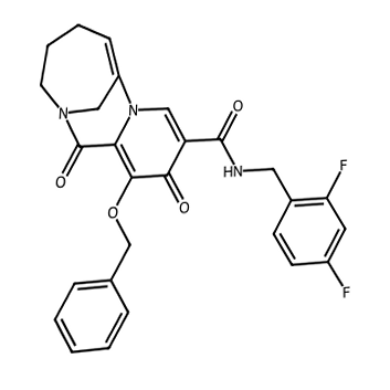 O=C(NCc1ccc(F)cc1F)c1cn2c(c(OCc3ccccc3)c1=O)C(=O)N1CCCC=C2C1